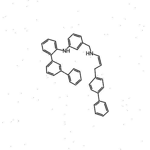 C(=C/NCc1cccc(Nc2ccccc2-c2cccc(-c3ccccc3)c2)c1)/Cc1ccc(-c2ccccc2)cc1